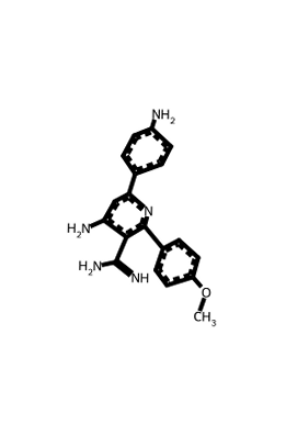 COc1ccc(-c2nc(-c3ccc(N)cc3)cc(N)c2C(=N)N)cc1